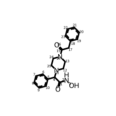 O=C(NO)C(c1ccccc1)N1CCN(C(=O)Cc2ccccc2)CC1